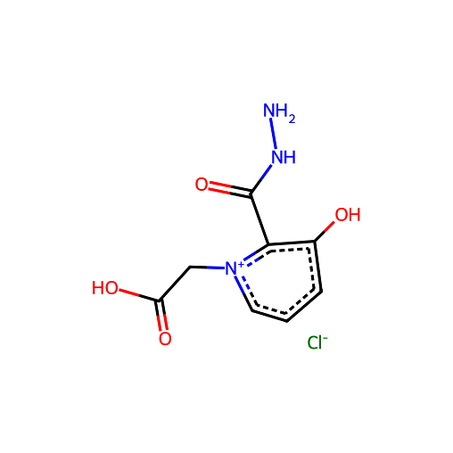 NNC(=O)c1c(O)ccc[n+]1CC(=O)O.[Cl-]